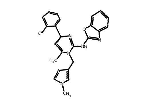 CC1=CC(c2ccccc2Cl)N=C(Nc2nc3ccccc3o2)N1Cc1cn(C)cn1